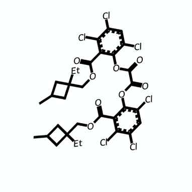 CCC1(COC(=O)c2c(Cl)c(Cl)cc(Cl)c2OC(=O)C(=O)Oc2c(Cl)cc(Cl)c(Cl)c2C(=O)OCC2(CC)CC(C)C2)CC(C)C1